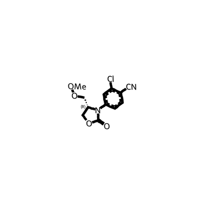 COOC[C@H]1COC(=O)N1c1ccc(C#N)c(Cl)c1